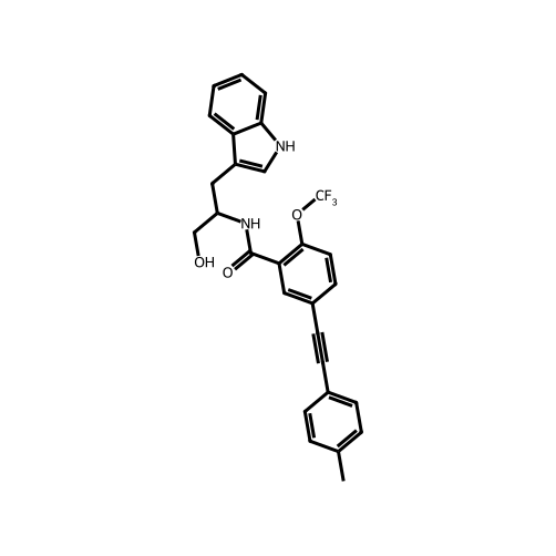 Cc1ccc(C#Cc2ccc(OC(F)(F)F)c(C(=O)NC(CO)Cc3c[nH]c4ccccc34)c2)cc1